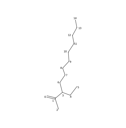 C=C(C)C(CC)CCCCCCCCC